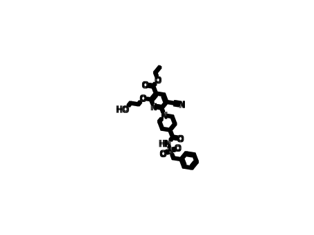 CCOC(=O)c1cc(C#N)c(N2CCC(C(=O)NS(=O)(=O)Cc3ccccc3)CC2)nc1OCCO